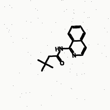 CC(C)(C)CC(=O)Nc1nccc2ccccc12